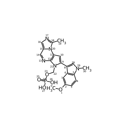 COc1ccc2c(c1)c(-c1cc3c(ncc4cnc(C)n43)n1COP(=O)(O)O)cn2C